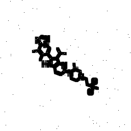 Cc1c(-c2[nH]c3ccc(N4CCN(CCS(C)(=O)=O)C[C@@H]4C)nc3c2C(C)C)cn2ncnc2c1C